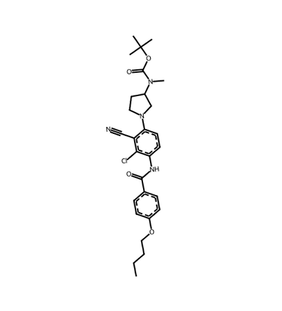 CCCCOc1ccc(C(=O)Nc2ccc(N3CCC(N(C)C(=O)OC(C)(C)C)C3)c(C#N)c2Cl)cc1